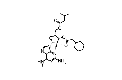 CNc1nc(N)nc2c1ncn2[C@@H]1O[C@H](COC(=O)CC(C)C)[C@@H](OC(=O)CC2CCCCC2)[C@@]1(C)F